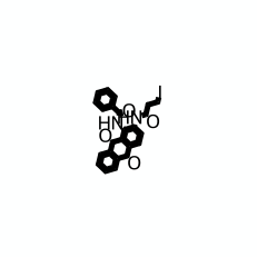 O=C(CCI)Nc1ccc2c(c1NC(=O)c1ccccc1)C(=O)c1ccccc1C2=O